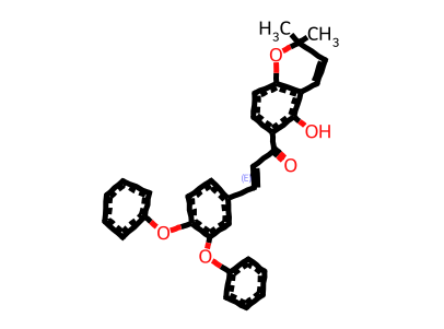 CC1(C)C=Cc2c(ccc(C(=O)/C=C/c3ccc(Oc4ccccc4)c(Oc4ccccc4)c3)c2O)O1